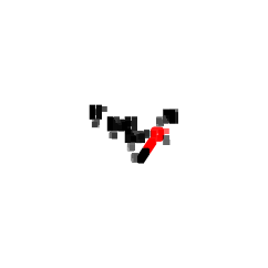 C[O-].[H-].[Na+].[NaH].[Ni]